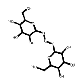 OCC1OC(OOOC2OC(CO)C(O)C(O)C2O)C(O)C(O)C1O